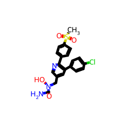 CS(=O)(=O)c1ccc(-c2ncc(CN(O)C(N)=O)cc2-c2ccc(Cl)cc2)cc1